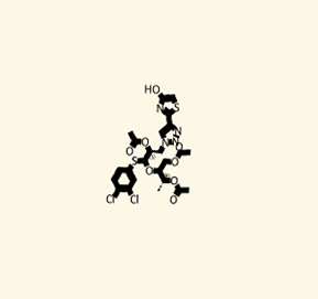 CC(=O)OCC(OC(Sc1ccc(Cl)c(Cl)c1)[C@H](Cn1cc(-c2nc(O)cs2)nn1)OC(C)=O)[C@@H](C)OC(C)=O